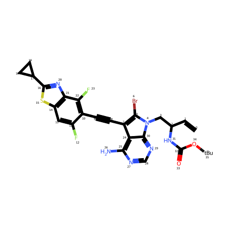 C=CC(Cn1c(Br)c(C#Cc2c(F)cc3sc(C4CC4)nc3c2F)c2c(N)ncnc21)NC(=O)OC(C)(C)C